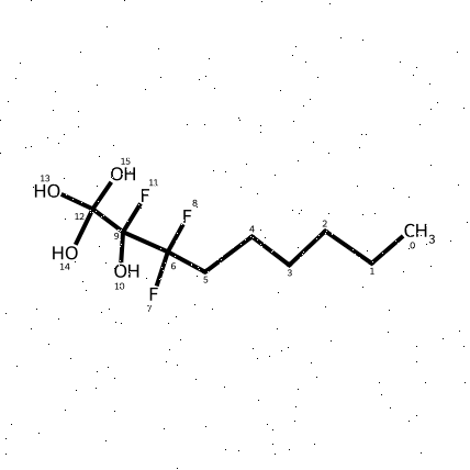 CCCCCCC(F)(F)C(O)(F)C(O)(O)O